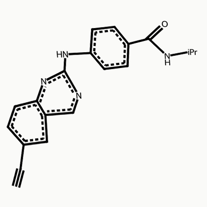 C#Cc1ccc2nc(Nc3ccc(C(=O)NC(C)C)cc3)ncc2c1